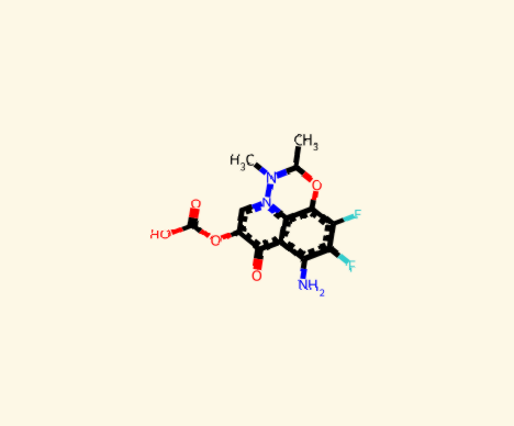 CC1Oc2c(F)c(F)c(N)c3c(=O)c(OC(=O)O)cn(c23)N1C